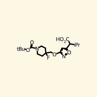 CC(C)C(C(=O)O)c1cc(OCC2(F)CCN(C(=O)OC(C)(C)C)CC2)no1